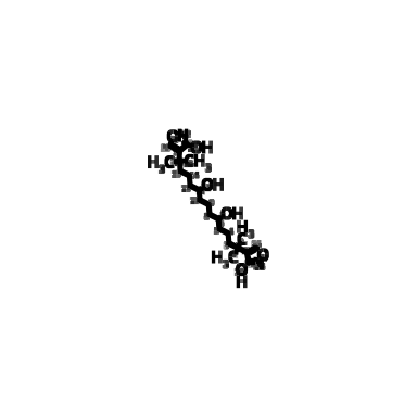 CC(C)(CCCC(O)CCCC(O)CCCC(C)(C)c1conc1O)c1conc1O